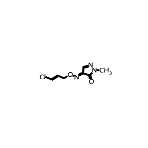 CN1N=CC(=NOCC=CCl)C1=O